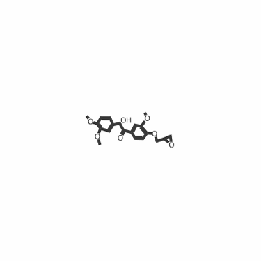 COc1ccc(C(O)C(=O)c2ccc(OCC3CO3)c(OC)c2)cc1OC